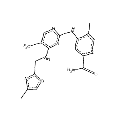 Cc1coc(CNc2nc(Nc3cc(C(N)=O)ccc3C)ncc2C(F)(F)F)n1